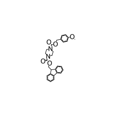 COc1ccc(COC(=O)N2CCN(C(=O)OCC3c4ccccc4-c4ccccc43)CC2)cc1